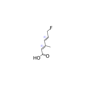 CC(/C=C/CF)=C\C(=O)O